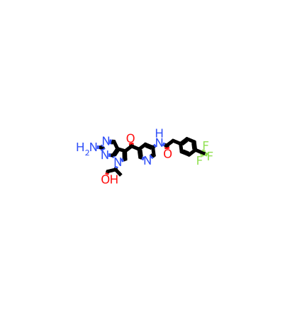 CC(CO)n1cc(C(=O)c2cncc(NC(=O)Cc3ccc(C(F)(F)F)cc3)c2)c2cnc(N)nc21